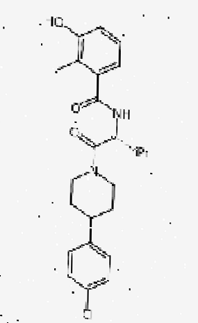 Cc1c(O)cccc1C(=O)N[C@@H](C(=O)N1CCC(c2ccc(Cl)cc2)CC1)C(C)C